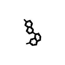 Cc1ccc2cc(-c3[c]ccc4ccc(C)cc34)ccc2c1